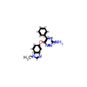 Cn1cnc2cc(Oc3nnc(N)nc3-c3ccccc3)ccc21